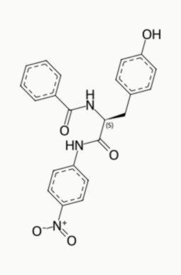 O=C(N[C@@H](Cc1ccc(O)cc1)C(=O)Nc1ccc([N+](=O)[O-])cc1)c1ccccc1